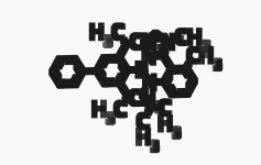 Cc1cccc2c1-c1n(cc[n+]1C)B(c1c(C(C)C)cc(-c3ccccc3)cc1C(C)C)N2CC(C)C